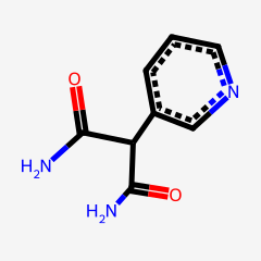 NC(=O)C(C(N)=O)c1cccnc1